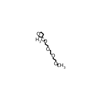 C1CCOC1.COCCOCCOCCOC